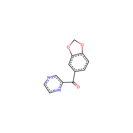 O=C(c1ccc2c(c1)OCO2)c1cnccn1